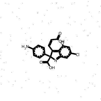 Nc1ccc(C2(C(=O)O)N=c3cc(Cl)cc(Cl)c3=C2/C=C\C(=O)O)cc1